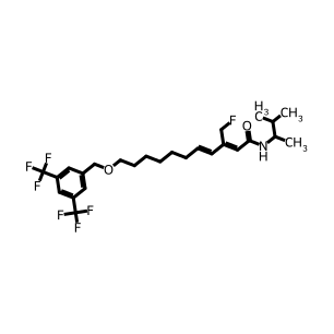 CC(C)C(C)NC(=O)C=C(C=CCCCCCCOCc1cc(C(F)(F)F)cc(C(F)(F)F)c1)CF